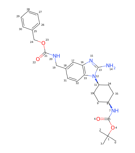 CC(C)(C)OC(=O)N[C@H]1CC[C@@H](n2c(N)nc3cc(CNC(=O)OCc4ccccc4)ccc32)CC1